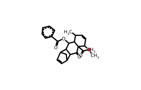 COC(=O)C12C(=O)C3C4C=CC(C4)C3C(OC(=O)c3ccccc3)C1C(C)C=CC2C